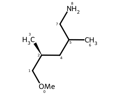 COC[C@@H](C)CC(C)CN